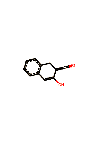 O=C=C1Cc2ccccc2C=C1O